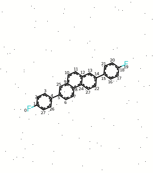 Fc1ccc(-c2ccc3c(ccc4cc(-c5ccc(F)cc5)ccc43)c2)cc1